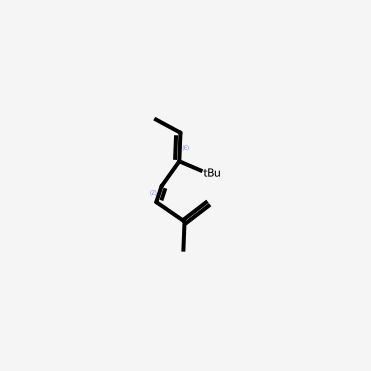 C=C(C)/C=C\C(=C/C)C(C)(C)C